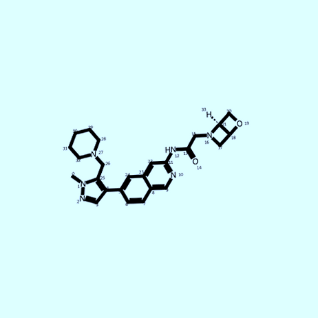 Cn1ncc(-c2ccc3cnc(NC(=O)CN4CC5OC[C@@H]54)cc3c2)c1CN1CCCCC1